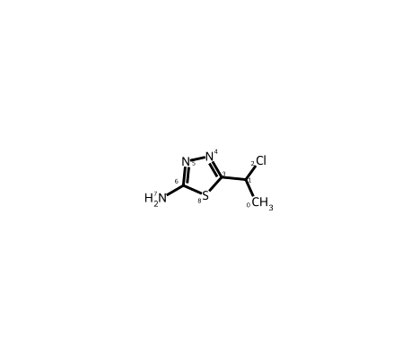 CC(Cl)c1nnc(N)s1